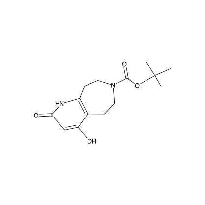 CC(C)(C)OC(=O)N1CCc2[nH]c(=O)cc(O)c2CC1